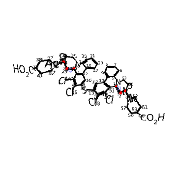 CC(=O)N1CCN(c2ccccc2-c2cc(Sc3cc(-c4ccccc4N4CCN(C(C)=O)CC4)c(/C=C/C(=O)N4CCC(C(=O)O)CC4)c(Cl)c3Cl)c(Cl)c(Cl)c2/C=C/C(=O)N2CCC(C(=O)O)CC2)CC1